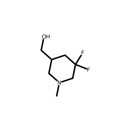 CN1CC(CO)CC(F)(F)C1